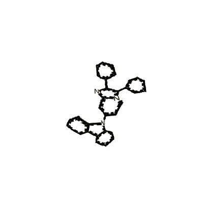 c1ccc(-c2nc3cc(-n4c5ccccc5c5ccccc54)ccn3c2-c2ccccc2)cc1